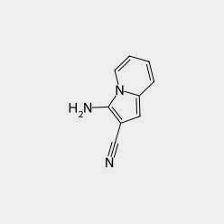 N#Cc1cc2ccccn2c1N